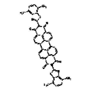 Cc1ccc(C)c2sc(N3C(=O)c4ccc5c6ccc7c8c(ccc(c9ccc(c4c59)C3=O)c86)C(=O)N(c3nc4c(C)ccc(C)c4s3)C7=O)nc12